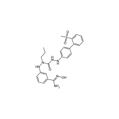 CCCN(Nc1cccc(C(N)=NO)c1)C(=O)NNc1ccc(-c2ccccc2S(C)(=O)=O)cc1